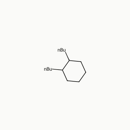 CCCC[C]1CCCCC1CCCC